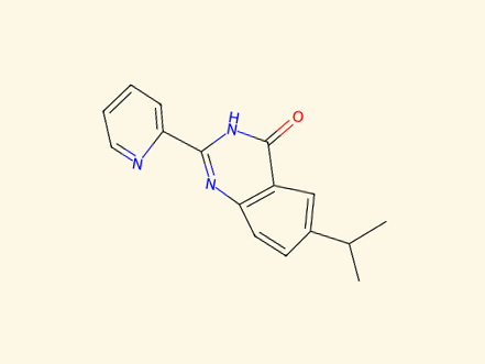 CC(C)c1ccc2nc(-c3ccccn3)[nH]c(=O)c2c1